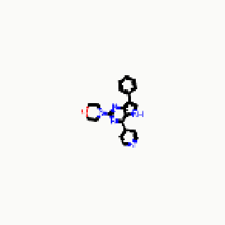 c1ccc(-c2c[nH]c3c(-c4ccncc4)nc(N4CCOCC4)nc23)cc1